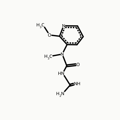 COc1ncccc1N(C)C(=O)NC(=N)N